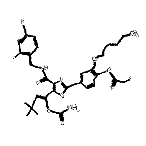 CC(C)(C)CC(OC(N)=O)c1oc(-c2ccc(OC(F)F)c(OCCCCO)c2)nc1C(=O)NCc1ccc(F)cc1F